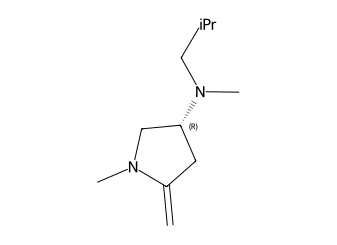 C=C1C[C@@H](N(C)CC(C)C)CN1C